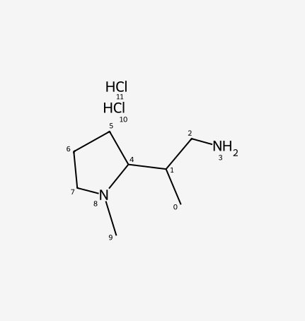 CC(CN)C1CCCN1C.Cl.Cl